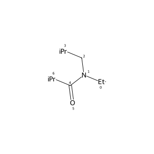 C[CH]N(CC(C)C)C(=O)C(C)C